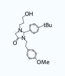 COc1ccc(CCN2C(=O)CN(CCCO)C2c2ccc(C(C)(C)C)cc2)cc1